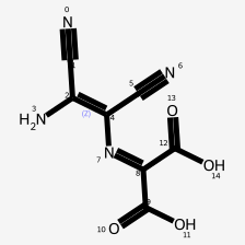 N#C/C(N)=C(\C#N)N=C(C(=O)O)C(=O)O